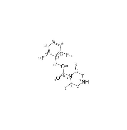 CC1CNCC(C)N1C(=O)OCc1c(F)cccc1F